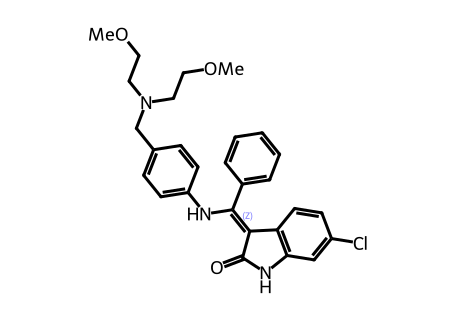 COCCN(CCOC)Cc1ccc(N/C(=C2\C(=O)Nc3cc(Cl)ccc32)c2ccccc2)cc1